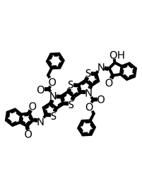 O=C1/C(=N\c2cc3c(s2)c2sc4c(sc5c6sc(N=c7c(=O)c8ccccc8c7=O)cc6n(C(=O)OCc6ccccc6)c54)c2n3C(=O)OCc2ccccc2)C(O)c2ccccc21